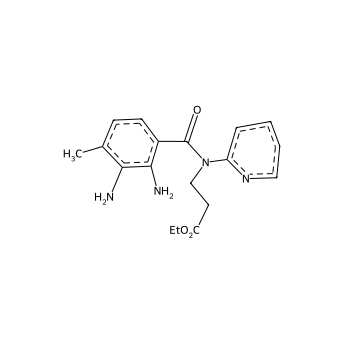 CCOC(=O)CCN(C(=O)c1ccc(C)c(N)c1N)c1ccccn1